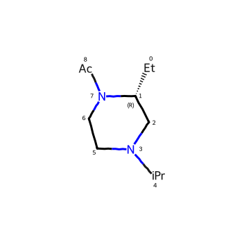 CC[C@@H]1CN(C(C)C)CCN1C(C)=O